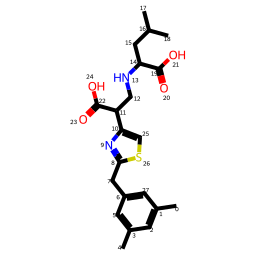 Cc1cc(C)cc(Cc2nc(C(CNC(CC(C)C)C(=O)O)C(=O)O)cs2)c1